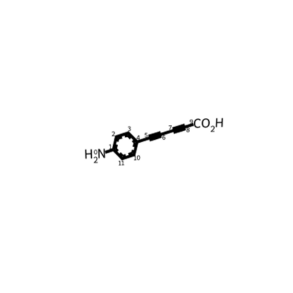 Nc1ccc(C#CC#CC(=O)O)cc1